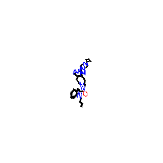 CCCCn1c(C(=O)N2CCc3cnc(N4CCN(C5CCC5)CC4)nc3CC2)cc2ccccc21